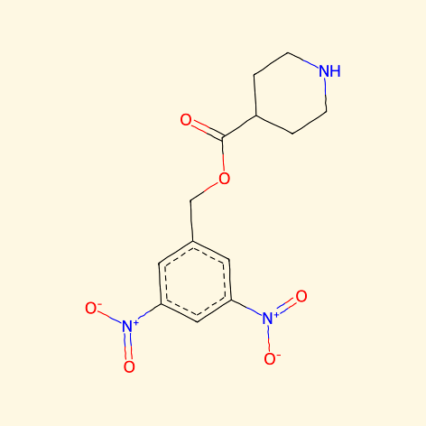 O=C(OCc1cc([N+](=O)[O-])cc([N+](=O)[O-])c1)C1CCNCC1